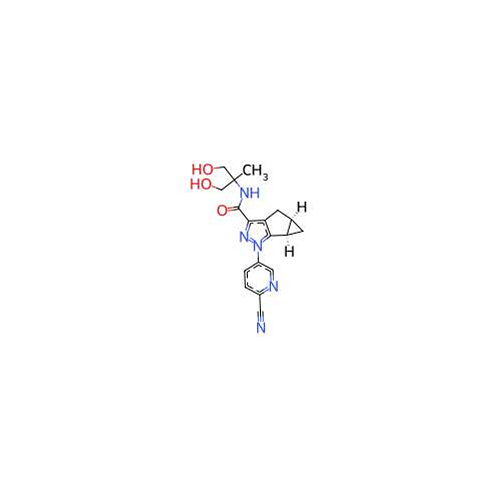 CC(CO)(CO)NC(=O)c1nn(-c2ccc(C#N)nc2)c2c1C[C@H]1C[C@@H]21